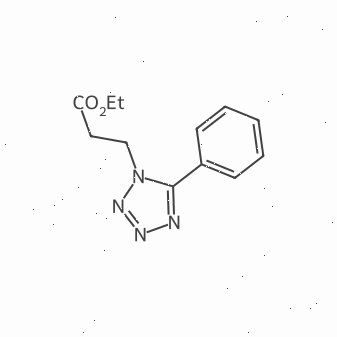 CCOC(=O)CCn1nnnc1-c1ccccc1